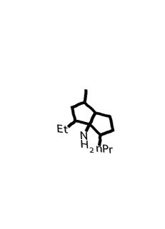 CCCC1CCC2C(C)CC(CC)C12N